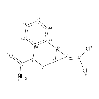 NC(=O)C1CC2C(=C(Cl)Cl)C2c2ccc[c]c21